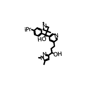 Cc1cc(C(O)CCc2cncc([C@@](O)(c3ccc(C(C)C)cc3)C3(C)CN(C)C3)c2)nn1C